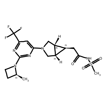 C[C@H]1CCN1c1nc(N2C[C@@H]3[C@@H](CC(=O)NS(C)(=O)=O)[C@@H]3C2)cc(C(F)(F)F)n1